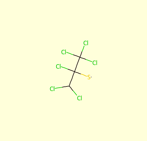 [S]C(Cl)(C(Cl)Cl)C(Cl)(Cl)Cl